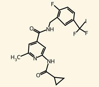 Cc1cc(C(=O)NCc2cc(C(F)(F)I)ccc2F)cc(NC(=O)C2CC2)n1